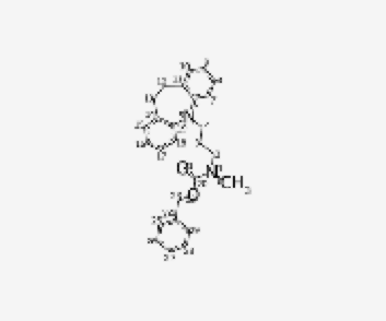 CN(CCCN1c2ccccc2CCc2ccccc21)C(=O)OCc1ccccc1